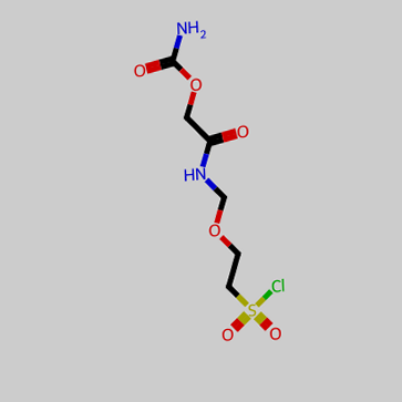 NC(=O)OCC(=O)NCOCCS(=O)(=O)Cl